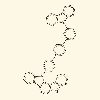 c1cc(-c2ccc(-c3ccc(-n4c5ccccc5c5ccc6sc7ccccc7c6c54)cc3)cc2)cc(-n2c3ccccc3c3ccccc32)c1